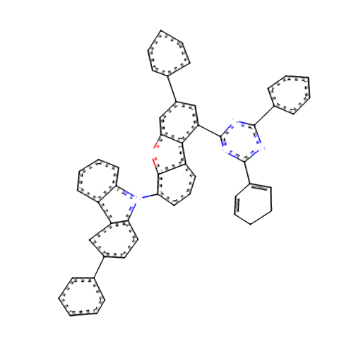 C1=CC(c2nc(-c3ccccc3)nc(-c3cc(-c4ccccc4)cc4oc5c(-n6c7ccccc7c7cc(-c8ccccc8)ccc76)cccc5c34)n2)=CCC1